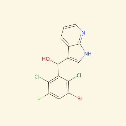 OC(c1c(Cl)c(F)cc(Br)c1Cl)c1c[nH]c2ncccc12